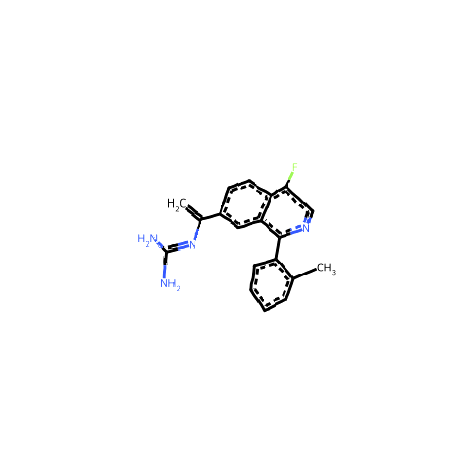 C=C(N=C(N)N)c1ccc2c(F)cnc(-c3ccccc3C)c2c1